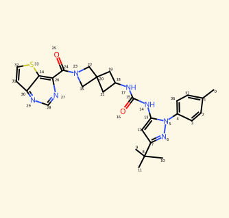 Cc1ccc(-n2nc(C(C)(C)C)cc2NC(=O)NC2CC3(C2)CN(C(=O)c2ncnc4ccsc24)C3)cc1